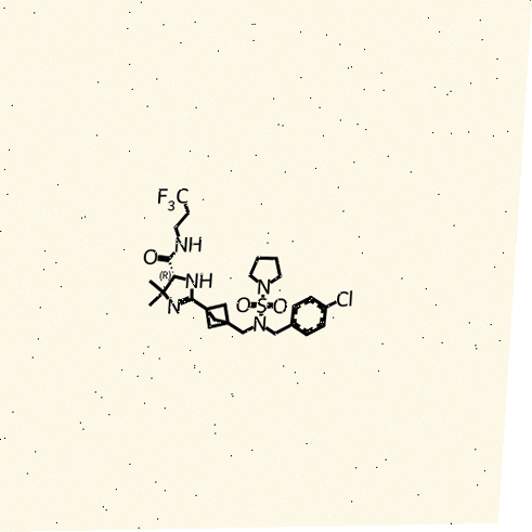 CC1(C)N=C(C23CC(CN(Cc4ccc(Cl)cc4)S(=O)(=O)N4CCCC4)(C2)C3)N[C@H]1C(=O)NCCC(F)(F)F